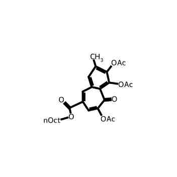 CCCCCCCCOC(=O)c1cc(OC(C)=O)c(=O)c2c(OC(C)=O)c(OC(C)=O)c(C)cc2c1